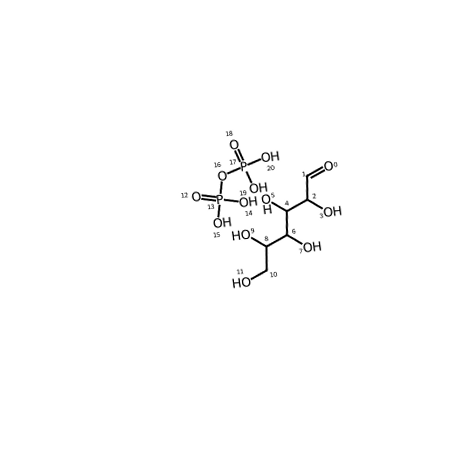 O=CC(O)C(O)C(O)C(O)CO.O=P(O)(O)OP(=O)(O)O